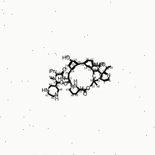 CCn1c(-c2cccnc2[C@H](C)OC)c2c3cc(ccc31)-c1cc(O)cc(c1)C[C@H](NC(=O)[C@H](C(C)C)N(C)C(=O)C1CNCCNC1)C(=O)N1CCC[C@H](N1)C(=O)OCC(C)(C)C2